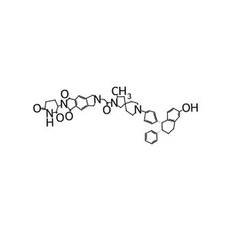 C[C@H]1CC2(CCN(c3ccc([C@@H]4c5ccc(O)cc5CC[C@@H]4c4ccccc4)cc3)CC2)CN1C(=O)CN1Cc2cc3c(cc2C1)C(=O)N(C1CCC(=O)NC1=O)C3=O